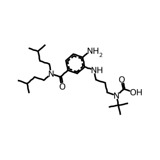 CC(C)CCN(CCC(C)C)C(=O)c1ccc(N)c(NCCCN(C(=O)O)C(C)(C)C)c1